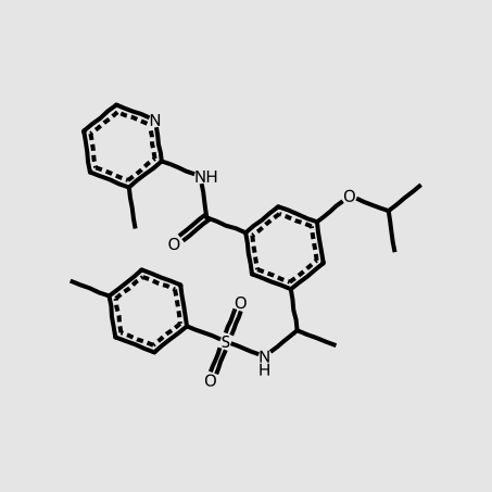 Cc1ccc(S(=O)(=O)NC(C)c2cc(OC(C)C)cc(C(=O)Nc3ncccc3C)c2)cc1